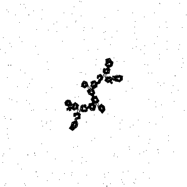 C\C=C/C(=C\C=C\c1ccc2c(c1)c1cc(-c3ccc4c(c3)c3cc(C5=CC=C(N(C(/C=C\Cc6ccc7c(c6)CC7)=C/C)c6ccc7c(c6)C(C)(C)c6ccccc6-7)CC5)ccc3n4-c3ccccc3)ccc1n2-c1ccccc1)N(c1ccc(-c2ccc3c(c2)CC3)cc1)c1ccc(C)c(C(C)(C)C2(C)C=CC=CC2)c1